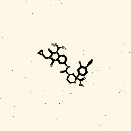 CC(C)n1c(=O)n(CC2CC2)c(=O)c2cc(NC(=O)N3CCSC(C(N)=O)(c4ccc(C#N)c(Cl)c4)C3)ccc21